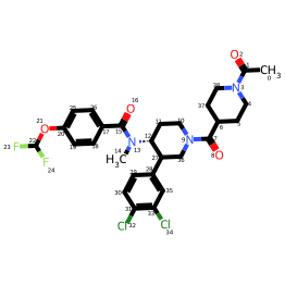 CC(=O)N1CCC(C(=O)N2CC[C@@H](N(C)C(=O)c3ccc(OC(F)F)cc3)C(c3ccc(Cl)c(Cl)c3)C2)CC1